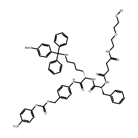 CCOCCOCCNC(=O)CCC(=O)N[C@@H](Cc1ccccc1)C(=O)N[C@@H](CCCCNC(c1ccccc1)(c1ccccc1)c1ccc(OC)cc1)C(=O)Nc1ccc(COC(=O)Oc2ccc([N+](=O)[O-])cc2)cc1